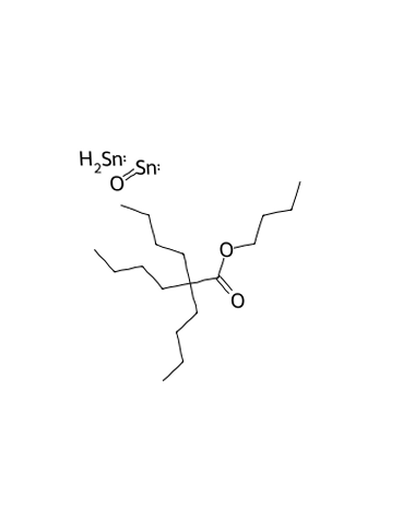 CCCCOC(=O)C(CCCC)(CCCC)CCCC.[O]=[Sn].[SnH2]